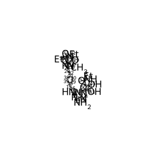 CCNC(=O)[C@H]1O[C@@H](n2cnc3c(N)nc(NCCc4ccc(/C=C/c5nc6c(c(=O)n(CC)c(=O)n6CC)n5C)cc4)nc32)[C@H](O)[C@@H]1O